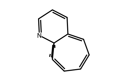 C1=CC=C2C=CC=NC23C=CC=CC3=C1